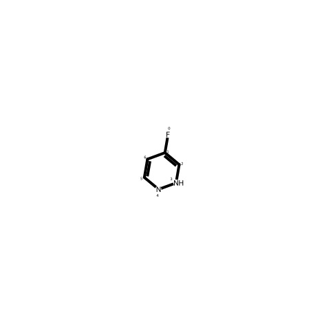 FC1=CN[N]C=C1